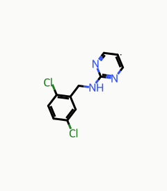 Clc1ccc(Cl)c(CNc2nc[c]cn2)c1